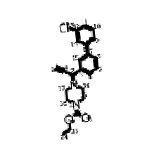 C#CC(c1cccc(-c2cccc(Cl)c2)c1)N1CCN(C(=O)OCC)CC1